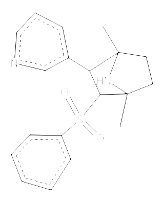 CC12CCC(C)(N1)C(S(=O)(=O)c1ccccc1)C2c1cccnc1